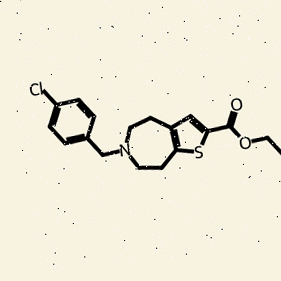 CCOC(=O)c1cc2c(s1)CCN(Cc1ccc(Cl)cc1)CC2